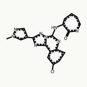 Cn1cc(-c2nc3c4cc(Cl)ccc4nc(Nc4ccccnc4=O)n3n2)cn1